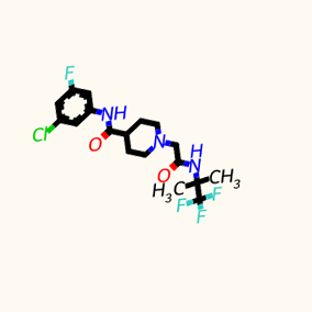 CC(C)(NC(=O)CN1CCC(C(=O)Nc2cc(F)cc(Cl)c2)CC1)C(F)(F)F